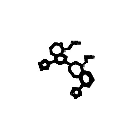 CNC[C@@H]1OCCCc2c(-c3cnoc3)cc(C3CCc4c(-c5cnoc5)cccc4[C@@H](CNC)O3)cc21